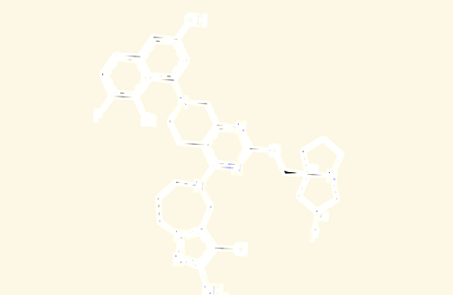 CCc1c(F)ccc2cc(O)cc(N3CCc4c(nc(OC[C@@]56CCCN5C[C@H](F)C6)nc4N4CCCn5nc(N)c(Cl)c5C4)C3)c12